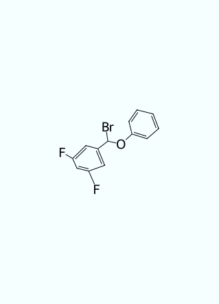 Fc1cc(F)cc(C(Br)Oc2ccccc2)c1